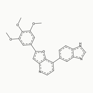 COc1cc(-c2cc3nccc(-c4ccc5[nH][c]nc5c4)c3o2)cc(OC)c1OC